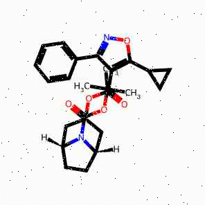 CC(C)(C)OC(=O)N1[C@@H]2CC[C@H]1CC(OC(=O)c1c(-c3ccccc3)noc1C1CC1)C2